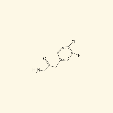 NCC(=O)Cc1ccc(Cl)c(F)c1